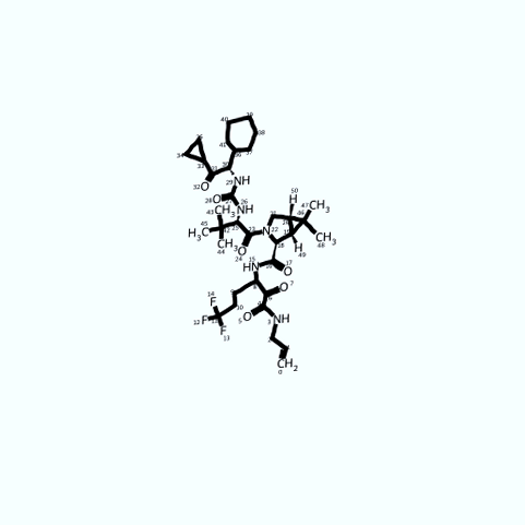 C=CCNC(=O)C(=O)C(CCC(F)(F)F)NC(=O)[C@@H]1[C@@H]2[C@H](CN1C(=O)[C@@H](NC(=O)N[C@H](C(=O)C1CC1)C1CCCCC1)C(C)(C)C)C2(C)C